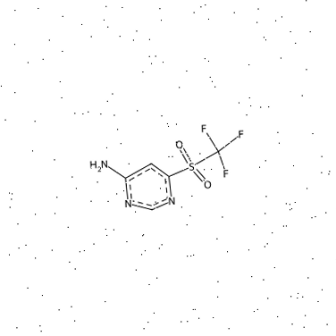 Nc1cc(S(=O)(=O)C(F)(F)F)ncn1